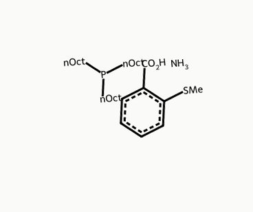 CCCCCCCCP(CCCCCCCC)CCCCCCCC.CSc1ccccc1C(=O)O.N